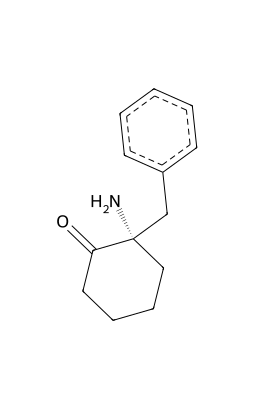 N[C@]1(Cc2ccccc2)CCCCC1=O